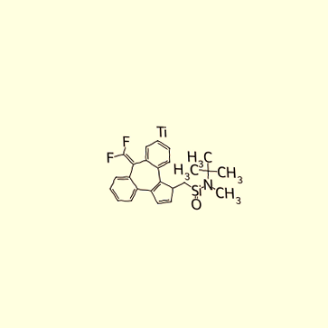 CN([Si](=O)CC1C=CC2=C1c1ccccc1C(=C(F)F)c1ccccc12)C(C)(C)C.[Ti]